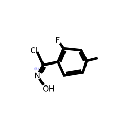 Cc1ccc(/C(Cl)=N\O)c(F)c1